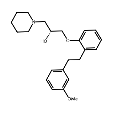 COc1cccc(CCc2ccccc2OC[C@H](O)CN2CCCCC2)c1